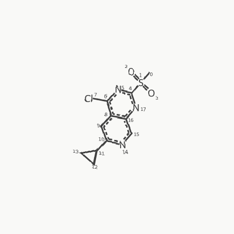 CS(=O)(=O)c1nc(Cl)c2cc(C3CC3)ncc2n1